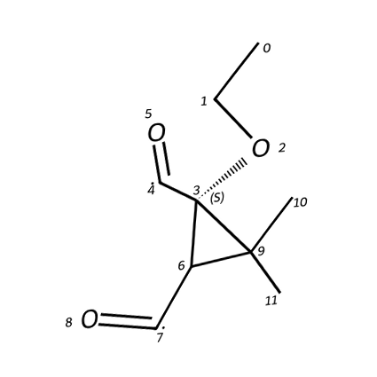 CCO[C@@]1([C]=O)C([C]=O)C1(C)C